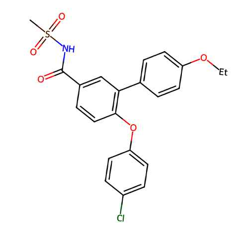 CCOc1ccc(-c2cc(C(=O)NS(C)(=O)=O)ccc2Oc2ccc(Cl)cc2)cc1